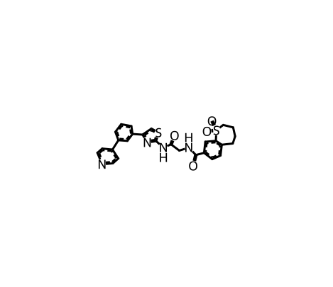 O=C(CNC(=O)c1ccc2c(c1)S(=O)(=O)CCCC2)Nc1nc(-c2cccc(-c3ccncc3)c2)cs1